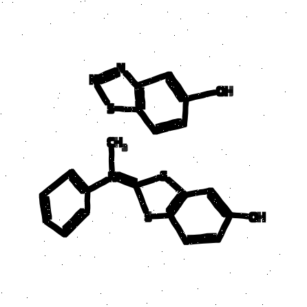 C[N+](c1ccccc1)=c1sc2ccc(O)cc2s1.Oc1ccc2snnc2c1